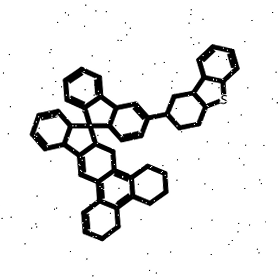 C1=CC2SC3CCC(C4=CC5c6ccccc6C6(C7Cc8c(c9c(c%10c8CCCC%10)CCC=C9)C=C7C7C=CC=CC76)C5C=C4)CC3C2C=C1